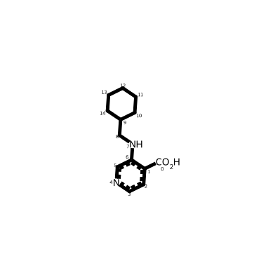 O=C(O)c1ccncc1NCC1CCCCC1